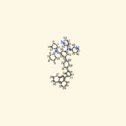 c1ccc(N(c2ccccc2)c2cc(-c3ccc(-c4cccc5c4sc4c6ccccc6c6ccccc6c54)cc3)cc(N(c3cccnc3)c3cccnc3)c2)cc1